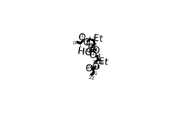 C=CC(=O)OCC(CC)COP(=O)(O)OCC(CC)COC(=O)C=C